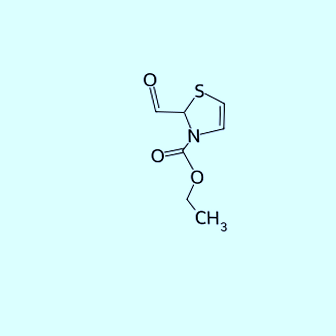 CCOC(=O)N1C=CSC1C=O